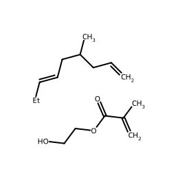 C=C(C)C(=O)OCCO.C=CCC(C)CC=CCC